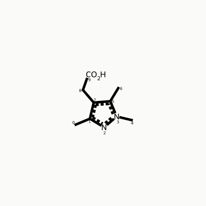 Cc1nn(C)c(C)c1CC(=O)O